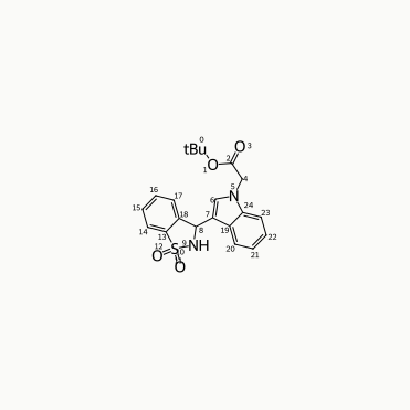 CC(C)(C)OC(=O)Cn1cc(C2NS(=O)(=O)c3ccccc32)c2ccccc21